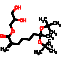 C=C(CCCC[Si](C)(O[Si](C)(C)C)O[Si](C)(C)C)C(=O)OCC(O)CO